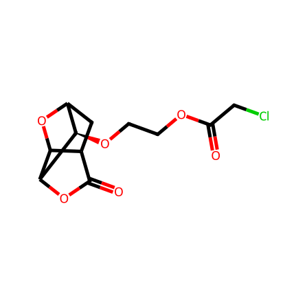 O=C(CCl)OCCO[C@@H]1C2CC3C(=O)OC1C3O2